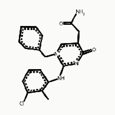 Cc1c(Cl)cccc1Nc1nc(=O)c(CC(N)=O)cn1Cc1ccccc1